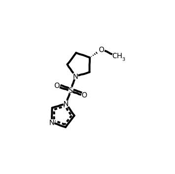 CO[C@H]1CCN(S(=O)(=O)n2ccnc2)C1